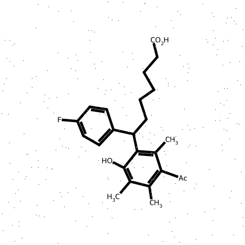 CC(=O)c1c(C)c(C)c(O)c(C(CCCCCC(=O)O)c2ccc(F)cc2)c1C